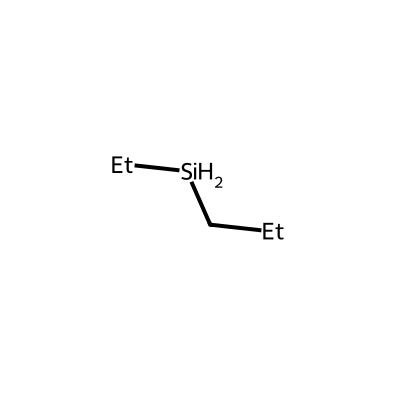 [CH2]C[SiH2]CCC